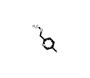 COCc1ccc(I)cn1